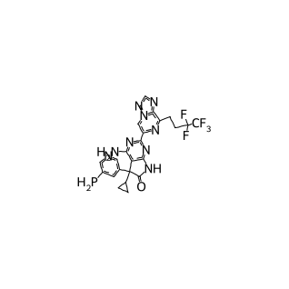 Nc1nc(-c2cn3ncnc3c(CCC(F)(F)C(F)(F)F)n2)nc2c1C(c1cncc(P)c1)(C1CC1)C(=O)N2